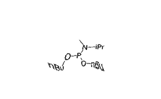 CCCCOP(OCCCC)N(C)C(C)C